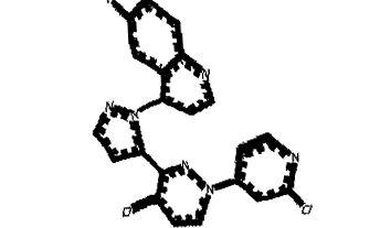 O=c1ccn(-c2ccnc(Cl)c2)nc1-c1ccnn1-c1ccnc2ccc(F)cc12